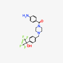 Nc1ccc(C(=O)N2CCN(Cc3ccc(C(O)(C(F)(F)F)C(F)(F)F)cc3)CC2)cc1